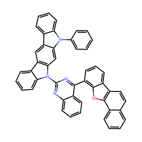 c1ccc(-n2c3ccccc3c3cc4c5ccccc5n(-c5nc(-c6cccc7c6oc6c8ccccc8ccc76)c6ccccc6n5)c4cc32)cc1